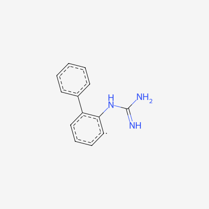 N=C(N)Nc1[c]cccc1-c1ccccc1